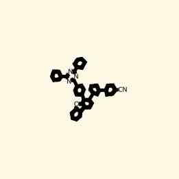 N#Cc1ccc(-c2cccc(-c3ccc4c(oc5ccccc54)c3-c3ccc(-c4nc(-c5ccccc5)nc(-c5ccccc5)n4)cc3)c2)cc1